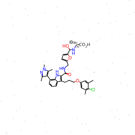 CC[C@H](C)[C@H](NC(O)c1ccc(CNC(=O)c2[nH]c3c(-c4c(C)nn(C)c4C)cccc3c2CCCOc2cc(C)c(Cl)c(C)c2)o1)C(=O)O